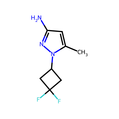 Cc1cc(N)nn1C1CC(F)(F)C1